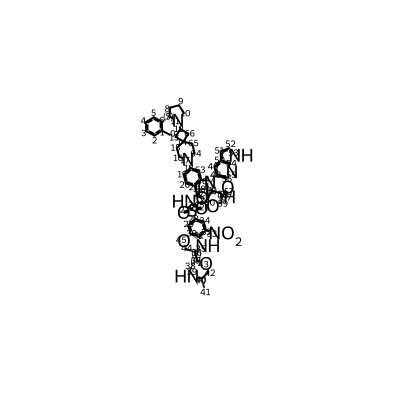 Cc1ccccc1[C@@H]1CCCN1C1CC2(CCN(c3ccc(C(=O)NS(=O)(=O)c4cc5c(c([N+](=O)[O-])c4)N[C@@H]([C@H]4CN[C@H](C)CO4)CO5)c(N4c5cc6cc[nH]c6nc5O[C@H]5COC[C@@H]54)c3)CC2)C1